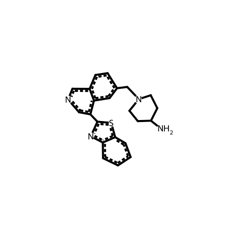 NC1CCN(Cc2ccc3cncc(-c4nc5ccccc5s4)c3c2)CC1